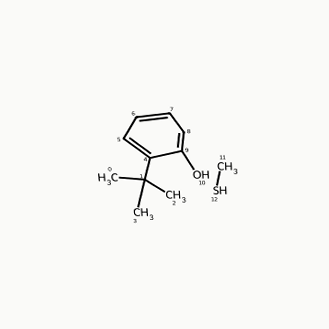 CC(C)(C)c1ccccc1O.CS